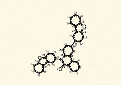 O=c1c2ccccc2c2cc(-c3ccc4oc5ccccc5c4c3)ccc2n1-c1ccc2oc3ccccc3c2c1